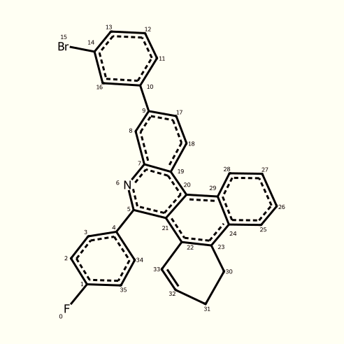 Fc1ccc(-c2nc3cc(-c4cccc(Br)c4)ccc3c3c2c2c(c4ccccc43)CCC=C2)cc1